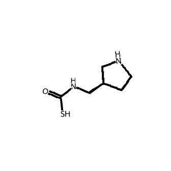 O=C(S)NCC1CCNC1